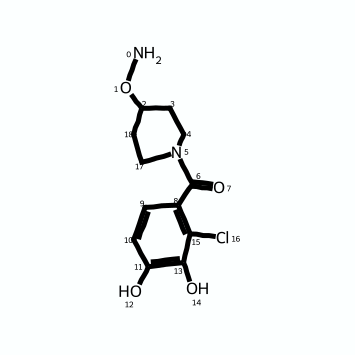 NOC1CCN(C(=O)c2ccc(O)c(O)c2Cl)CC1